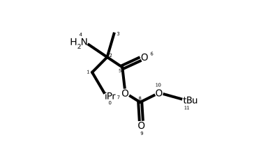 CC(C)CC(C)(N)C(=O)OC(=O)OC(C)(C)C